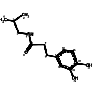 CC(C)CNC(=O)CCc1ccc(O)c(O)c1